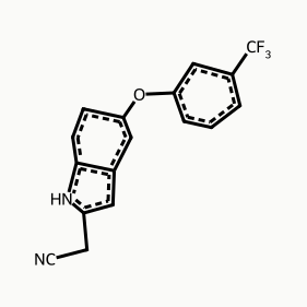 N#CCc1cc2cc(Oc3cccc(C(F)(F)F)c3)ccc2[nH]1